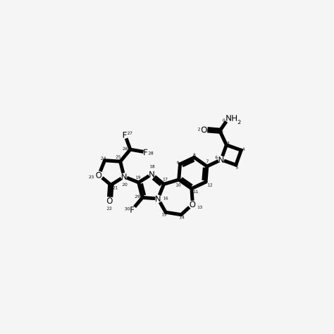 NC(=O)C1CCN1c1ccc2c(c1)OCCn1c-2nc(N2C(=O)OCC2C(F)F)c1F